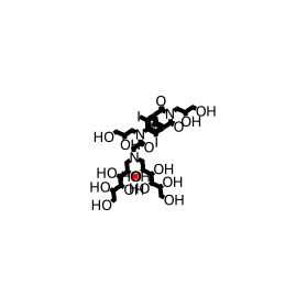 O=C1c2c(I)c(c(I)c(N(CC(O)CO)C(=O)CN(CC(O)C(O)C(O)C(O)CO)CC(O)C(O)C(O)C(O)CO)c2I)C(=O)N1CC(O)CO